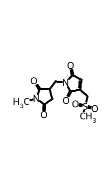 CN1C(=O)CC(CN2C(=O)C=C(CS(C)(=O)=O)C2=O)C1=O